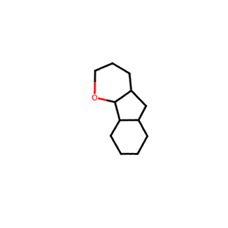 C1CCC2C(C1)CC1CCCOC12